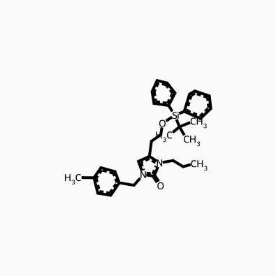 CCCn1c(CCO[Si](c2ccccc2)(c2ccccc2)C(C)(C)C)cn(Cc2ccc(C)cc2)c1=O